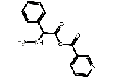 NNC(C(=O)OC(=O)c1cccnc1)c1ccccc1